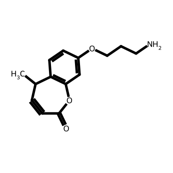 CC1C#CC(=O)Oc2cc(OCCCN)ccc21